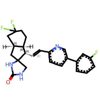 O=C1NCC2(C[C@H]3CC(F)(F)CC[C@H]3[C@@H]2/C=C/c2ccc(-c3cccc(F)c3)cn2)N1